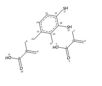 C=C(C)C(=O)O.C=C(C)C(=O)O.Cc1ccc(S)c(S)c1C